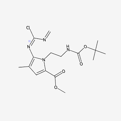 C=N/C(Cl)=N\c1c(C)cc(C(=O)OC)n1CCNC(=O)OC(C)(C)C